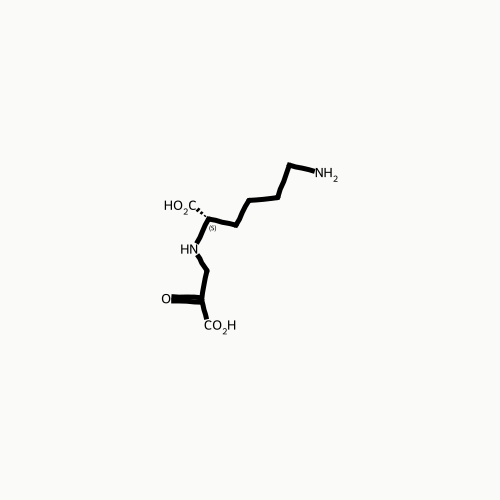 NCCCC[C@H](NCC(=O)C(=O)O)C(=O)O